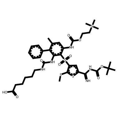 CSc1sc(C(=N)NC(=O)OC(C)(C)C)cc1S(=O)(=O)c1c(NC(=O)OCC[Si](C)(C)C)cc(C)c(-c2ccccc2)c1NC(=O)NCCCCCC(=O)O